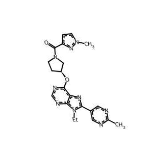 CCn1c(-c2cnc(C)nc2)nc2c(O[C@H]3CCN(C(=O)c4ccn(C)n4)C3)ncnc21